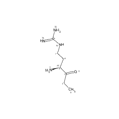 CCC(=O)[C@@H](N)CCNC(=N)N